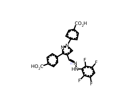 O=C(O)c1ccc(-c2nn(-c3ccc(C(=O)O)cc3)cc2/C=N/Nc2c(F)c(F)cc(F)c2F)cc1